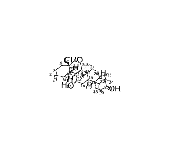 CC1(C)CC[C@]2(C=O)CC[C@]3(C)[C@H]([C@H](O)C[C@@H]4[C@@]5(C)CC[C@H](O)C(C)(C)[C@@H]5CC[C@]43C)[C@@H]2C1